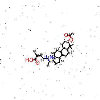 CC(=O)O[C@H]1CC[C@]2(C)C3=C(CCC2C1(C)C)[C@@]1(C)CC[C@@H](C(C)CC/C=C(/C)C(=O)O)[C@]1(N)CC3